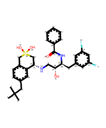 CC(C)(C)Cc1ccc2c(c1)[C@@H](NC[C@@H](O)[C@H](Cc1cc(F)cc(F)c1)NC(=O)c1ccccc1)CS(O)(O)C2